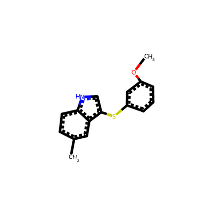 COc1cccc(Sc2c[nH]c3ccc(C)cc23)c1